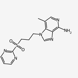 Cc1cnc(N)c2ncn(CCCS(=O)(=O)c3ncccn3)c12